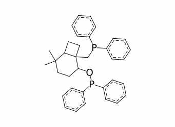 CC1(C)CCC(OP(c2ccccc2)c2ccccc2)C2(CP(c3ccccc3)c3ccccc3)CCC12